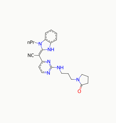 CCCN1/C(=C(\C#N)c2ccnc(NCCCN3CCCC3=O)n2)Nc2ccccc21